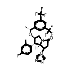 Cc1cc(F)ccc1[C@@H]1[C@@H](O[C@H](C)c2cc(C(F)(F)F)cc(C(F)(F)F)c2)CN2C(=O)CC(n3cnnc3)[C@@H]12